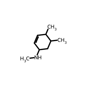 CNC1C=CC(C)C(C)C1